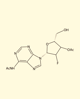 CC(=O)Nc1ncnc2c1ncn2[C@@H]1O[C@H](CO)C(OC(C)=O)C1F